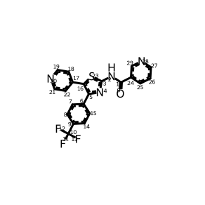 O=C(Nc1nc(-c2ccc(C(F)(F)F)cc2)c(-c2ccncc2)s1)c1cccnc1